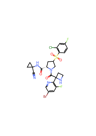 N#CC1(NC(=O)[C@@H]2CC(S(=O)(=O)c3ccc(F)cc3Cl)CN2C(=O)C2(c3ncc(Br)cc3F)CCN2)CC1